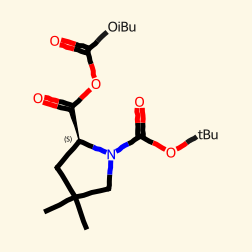 CC(C)COC(=O)OC(=O)[C@@H]1CC(C)(C)CN1C(=O)OC(C)(C)C